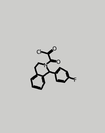 O=C(Cl)C(=O)N1CCc2ccccc2C1c1ccc(F)cc1